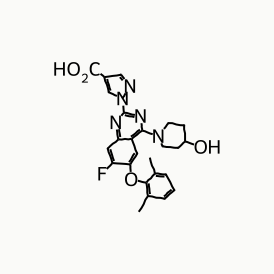 Cc1cccc(C)c1Oc1cc2c(N3CCC(O)CC3)nc(-n3cc(C(=O)O)cn3)nc2cc1F